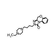 CCN1CCN(CCCCn2nc3n(c2=O)-c2ccccc2OC3)CC1